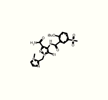 CCc1c(NC(=O)c2cc(S(C)(=O)=O)ccc2OCC(C)C)c(C(N)=O)nn1Cc1nccn1C